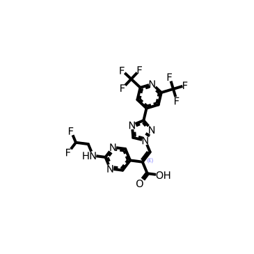 O=C(O)/C(=C/n1cnc(-c2cc(C(F)(F)F)nc(C(F)(F)F)c2)n1)c1cnc(NCC(F)F)nc1